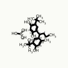 CCCC(c1cc(C(C)(C)C)c(O)cc1C)c1cc(C(C)(C)C)c(O)cc1C.OP(O)O